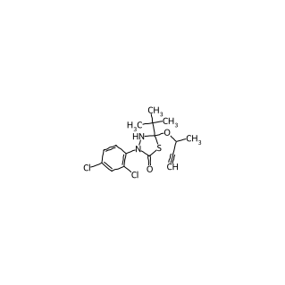 C#CC(C)OC1(C(C)(C)C)NN(c2ccc(Cl)cc2Cl)C(=O)S1